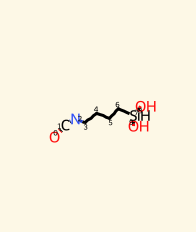 O=C=NCCCC[SiH](O)O